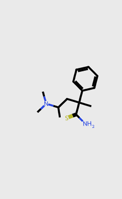 CC(CC(C)(C(N)=S)c1ccccc1)N(C)C